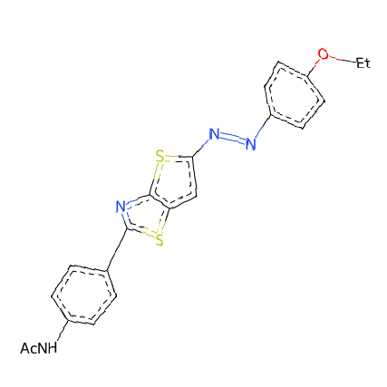 CCOc1ccc(N=Nc2cc3sc(-c4ccc(NC(C)=O)cc4)nc3s2)cc1